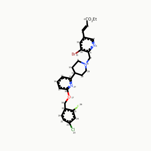 CCOC(=O)/C=C/c1cnc(CN2CCC(c3cccc(OCc4ccc(Cl)cc4F)n3)CC2)c(Br)c1